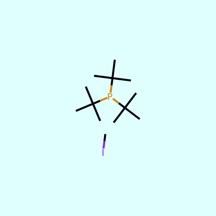 CC(C)(C)P(C(C)(C)C)C(C)(C)C.CI